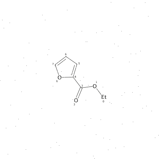 CCOC(=O)c1cc[c]o1